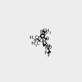 CC(Oc1ccc(S(C)(=O)=O)cc1C(=O)N1CC2CC2(c2noc(C3CC3(F)F)n2)C1)C(C)(F)F